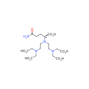 NC(=O)CC[C@@H](C(=O)O)N(CCN(CC(=O)O)CC(=O)O)CCN(CC(=O)O)CC(=O)O